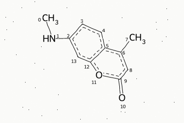 CNc1ccc2c(C)cc(=O)oc2c1